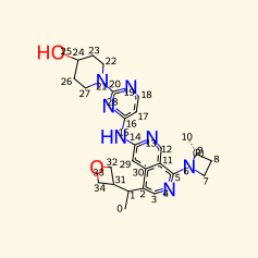 CC(c1cnc(N2CC[C@H]2C)c2cnc(Nc3ccnc(N4CCC(O)CC4)n3)cc12)C1COC1